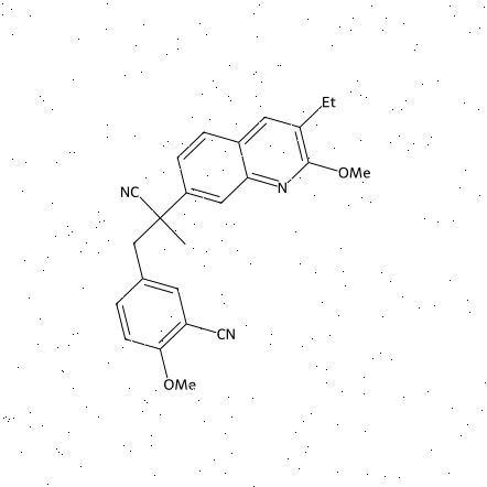 CCc1cc2ccc(C(C)(C#N)Cc3ccc(OC)c(C#N)c3)cc2nc1OC